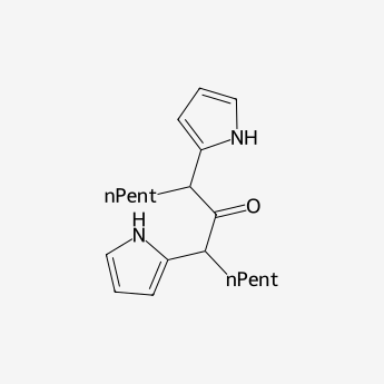 CCCCCC(C(=O)C(CCCCC)c1ccc[nH]1)c1ccc[nH]1